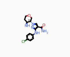 N=C1CCOC[C@@H]1n1cc(C(N)=O)c(Nc2ccc(Cl)cc2)n1